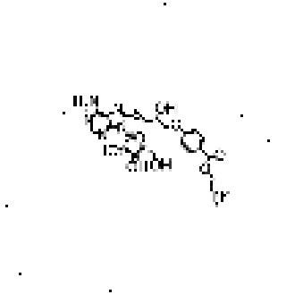 CN(C)CCOC(=O)c1ccc(OCC(O)CSc2nc3c(N)ncnc3n2[C@@H]2O[C@H](CO)[C@@H](O)[C@H]2O)cc1